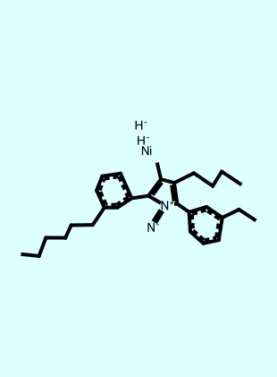 CCCCCCc1cccc(C2=C(C)C(CCCC)=C(c3cccc(CC)c3)[N+]2=[N-])c1.[H-].[H-].[Ni]